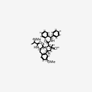 CNC(C)C(=O)N[C@H]1Cc2ccc(OC)cc2[C@H]2CC(C)(C)C(C(=O)NC(c3ccccc3)c3ccccc3)N2C1=O.Cl